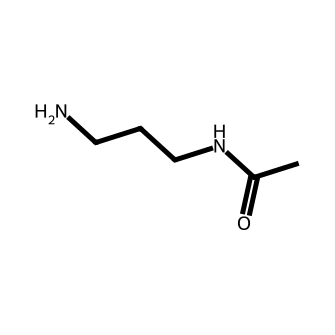 CC(=O)NCCCN